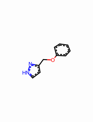 c1ccc(OCc2cc[nH]n2)cc1